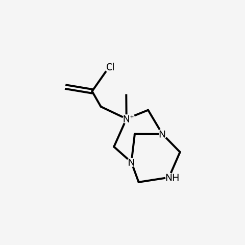 C=C(Cl)C[N+]1(C)CN2CNCN(C2)C1